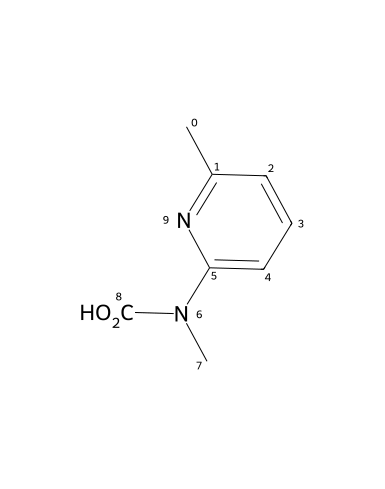 Cc1cccc(N(C)C(=O)O)n1